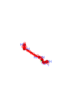 Nc1ncc(-c2ccc(S(=O)(=O)Nc3ccc(NC(=O)CCOCCOCCOCCOCCOCCNC4=C5C(=O)N(C6CCC(=O)NC6=O)C(=O)C5CC=C4)cc3)cc2F)cc1-c1ccc2c(c1)CCNC2=O